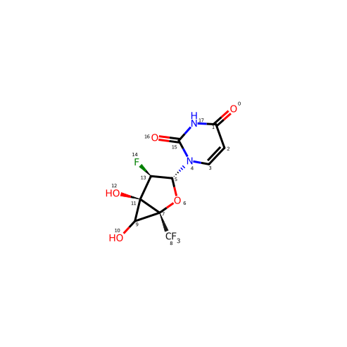 O=c1ccn([C@@H]2O[C@]3(C(F)(F)F)C(O)[C@]3(O)[C@H]2F)c(=O)[nH]1